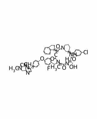 C[C@H]1C(=O)N[C@@H](CO)C(=O)N[C@@]2(Cc3ccc(Cl)cc3)CCCN(C2)C(=O)[C@H]([C@@H]2CCc3ccccc32)CC(=O)N1Cc1ccc(Oc2ccc(-c3cnc(CN(C)C)n3C)cc2)cc1F